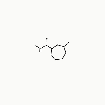 CN[C@H](C)C1CCCCC(C)C1